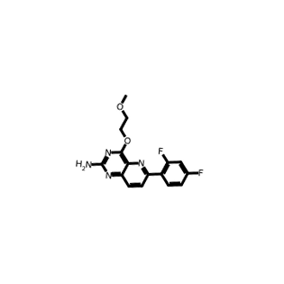 COCCOc1nc(N)nc2ccc(-c3ccc(F)cc3F)nc12